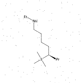 CCNCCCC[C@@H](C(C)C)S(C)(C)C